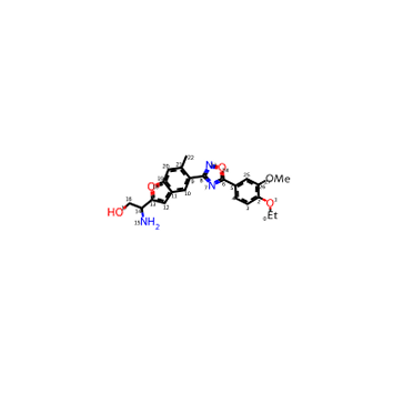 CCOc1ccc(-c2nc(-c3cc4cc(C(N)CO)oc4cc3C)no2)cc1OC